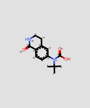 CC(C)(C)N(C(=O)O)c1ccc2c(c1)CCNC2=O